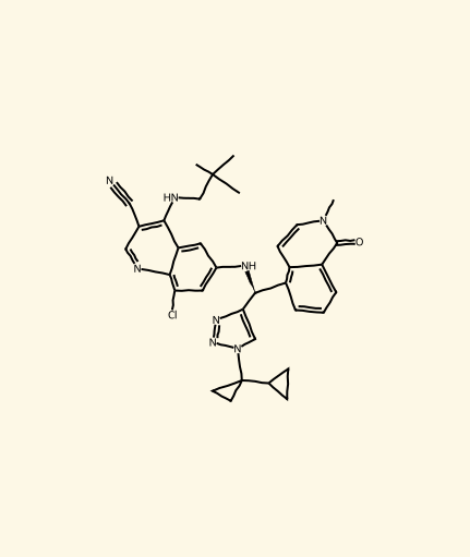 Cn1ccc2c([C@H](Nc3cc(Cl)c4ncc(C#N)c(NCC(C)(C)C)c4c3)c3cn(C4(C5CC5)CC4)nn3)cccc2c1=O